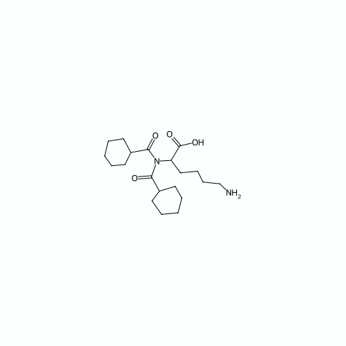 NCCCCC(C(=O)O)N(C(=O)C1CCCCC1)C(=O)C1CCCCC1